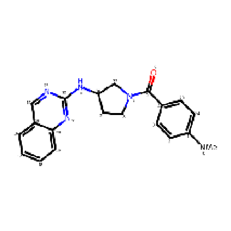 CNc1ccc(C(=O)N2CCC(Nc3ncc4ccccc4n3)C2)cc1